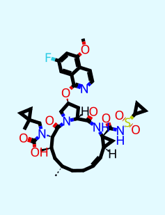 COc1cc(F)cc2c(O[C@@H]3C[C@H]4C(=O)N[C@]5(C(=O)NS(=O)(=O)C6CC6)C[C@H]5/C=C\CC[C@H](C)C[C@@H](C)[C@H](N(CC5(C)CC5)C(=O)O)C(=O)N4C3)nccc12